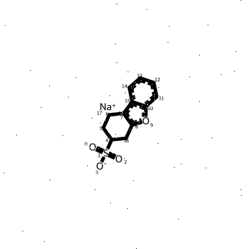 O=S(=O)([O-])C1CCc2c(oc3ccccc23)C1.[Na+]